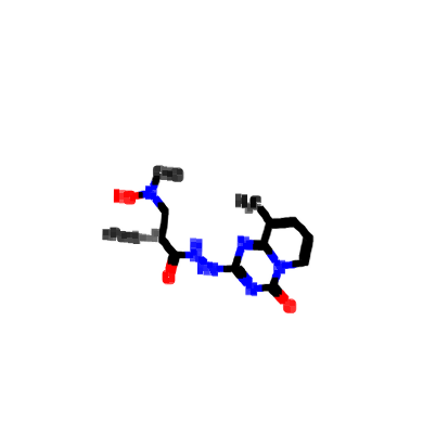 CCCCC[C@H](CN(O)C=O)C(=O)NNc1nc(=O)n2cccc(C)c2n1